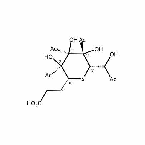 CC(=O)C(O)[C@@H]1S[C@H](CCC(=O)O)[C@](O)(C(C)=O)[C@](O)(C(C)=O)[C@@]1(O)C(C)=O